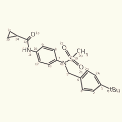 CC(C)(C)c1ccc(CN(c2ccc(NC(=O)C3CC3)cc2)S(C)(=O)=O)cc1